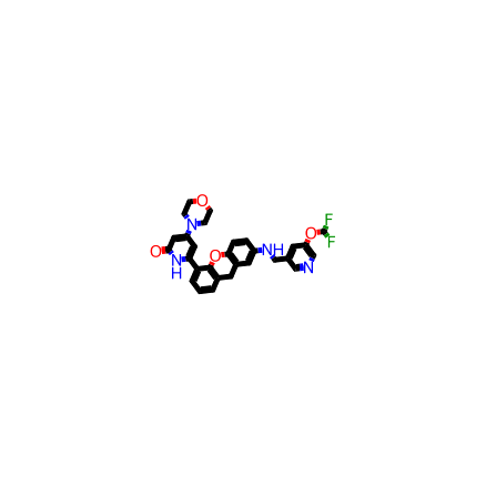 O=c1cc(N2CCOCC2)cc(-c2cccc3c2Oc2ccc(NCc4cncc(OC(F)F)c4)cc2C3)[nH]1